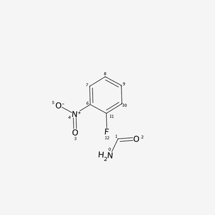 NC=O.O=[N+]([O-])c1ccccc1F